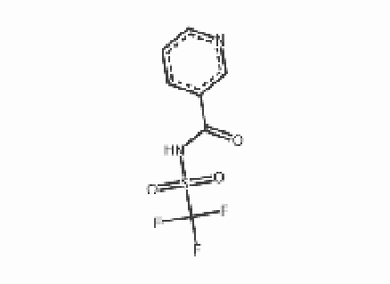 O=C(NS(=O)(=O)C(F)(F)F)c1cccnc1